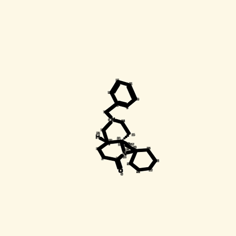 O=C1CC[C@@H]2CN(Cc3ccccc3)CC[C@@]23OCC2(CCCCC2)N13